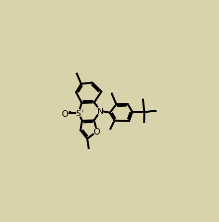 Cc1ccc2c(c1)[S+]([O-])c1cc(C)oc1N2c1c(C)cc(C(C)(C)C)cc1C